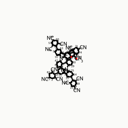 N#Cc1cc(C#N)c(-c2ccc3c(c2)c2cc(-c4c(C#N)cc(C#N)cc4C#N)ccc2n3-c2ccc(-c3c(C(F)(F)F)cccc3C(F)(F)F)cc2-c2c(C#N)cccc2-n2c3ccc(-c4c(C#N)cc(C#N)cc4C#N)cc3c3cc(-c4c(C#N)cc(C#N)cc4C#N)ccc32)c(C#N)c1